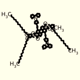 CCCCCCCCCCCCCCCCOc1cc(CN2C(=O)c3ccc4c5c(C#Cc6ccc(-n7c8ccccc8c8ccccc87)cc6)cc6c7c(ccc(c8c(C#Cc9ccc(-n%10c%11ccccc%11c%11ccccc%11%10)cc9)cc(c3c48)C2=O)c75)C(=O)N(Cc2ccc(OCCCCCCCCCCCCCCCC)c(OCCCCCCCCCCCCCCCC)c2)C6=O)ccc1C